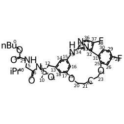 CCCCOC(=O)N[C@H](C(=O)N=[S@@](C)(=O)Cc1cc2cc(c1)OCCCCOc1cc(F)ccc1-c1nc(ncc1F)N2)C(C)C